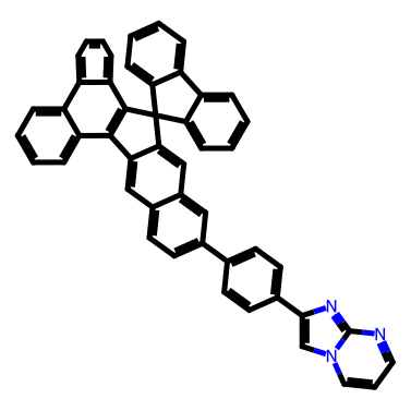 c1ccc2c(c1)-c1ccccc1C21c2cc3cc(-c4ccc(-c5cn6cccnc6n5)cc4)ccc3cc2-c2c1c1ccccc1c1ccccc21